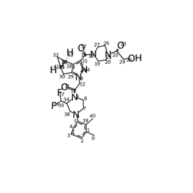 Cc1cccc(N2CCN(C(=O)Cn3nc(C(=O)N4CCN(C(=O)CO)CC4)c4c3C[C@H]3C[C@@H]43)C(C(F)F)C2)c1C